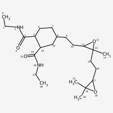 CCNC(=O)C1CCC(CCC2OC2(C)CCC2OC2(C)C)CC1C(=O)NCC